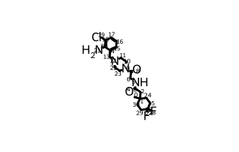 CC1(CC(=O)NCC(=O)N2CCN(Cc3cccc(Cl)c3N)CC2)CCC(F)(F)CC1